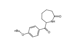 CCCCOc1ccc(C(=O)C2CCCCC(=O)N2)cc1